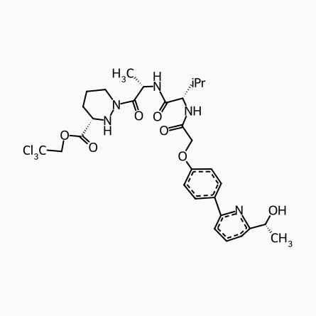 CC(C)[C@H](NC(=O)COc1ccc(-c2cccc([C@@H](C)O)n2)cc1)C(=O)N[C@@H](C)C(=O)N1CCC[C@@H](C(=O)OCC(Cl)(Cl)Cl)N1